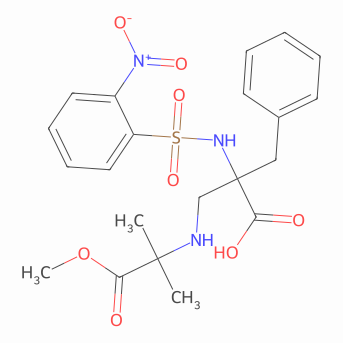 COC(=O)C(C)(C)NCC(Cc1ccccc1)(NS(=O)(=O)c1ccccc1[N+](=O)[O-])C(=O)O